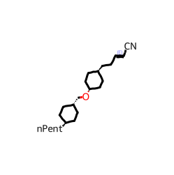 CCCCC[C@H]1CC[C@H](CO[C@H]2CC[C@H](CC/C=C/C#N)CC2)CC1